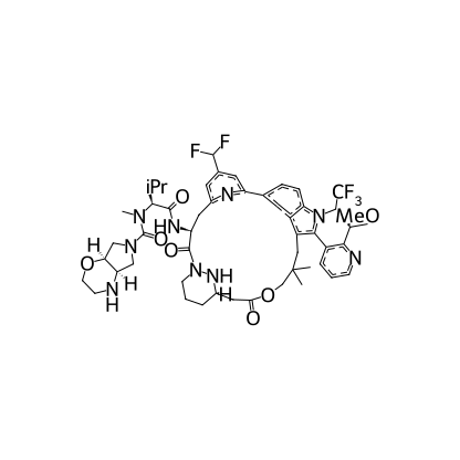 CO[C@@H](C)c1ncccc1-c1c2c3cc(ccc3n1CC(F)(F)F)-c1cc(C(F)F)cc(n1)C[C@H](NC(=O)[C@H](C(C)C)N(C)C(=O)N1C[C@@H]3OCCN[C@@H]3C1)C(=O)N1CCC[C@@H](CC(=O)OCC(C)(C)C2)N1